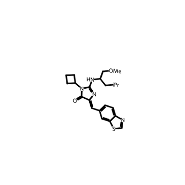 COCC(CC(C)C)NC1=N/C(=C\c2ccc3ncsc3c2)C(=O)N1C1CCC1